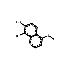 CSc1ccnc2c(O)c(O)ccc12